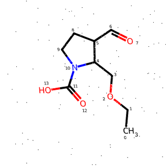 CCOCC1C(C=O)CCN1C(=O)O